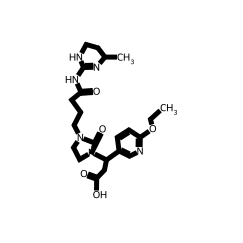 CCOc1ccc(C(CC(=O)O)N2CCN(CCCC(=O)NC3=NC(C)CCN3)C2=O)cn1